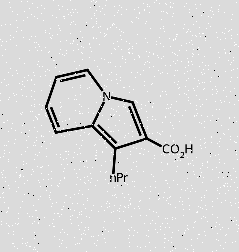 CCCc1c(C(=O)O)cn2ccccc12